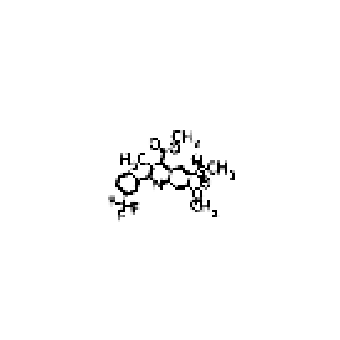 COC(=O)c1c(C)c(-c2cccc(C(F)(F)F)c2)nc2cc(OC)c(S(C)(=O)=O)cc12